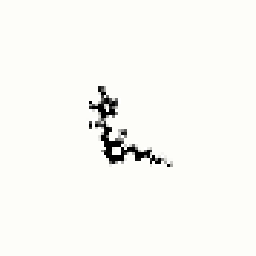 Cc1c(NCCc2cccn(CCCN)c2=O)cnn1C